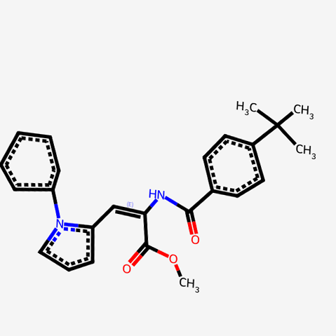 COC(=O)/C(=C\c1cccn1-c1ccccc1)NC(=O)c1ccc(C(C)(C)C)cc1